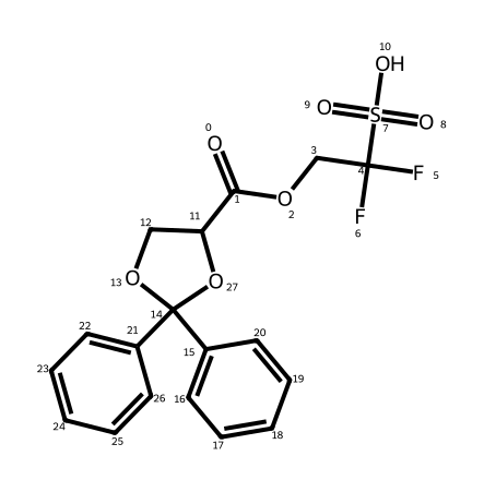 O=C(OCC(F)(F)S(=O)(=O)O)C1COC(c2ccccc2)(c2ccccc2)O1